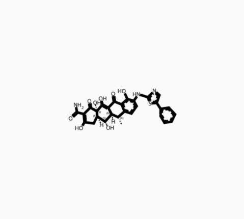 C[C@H]1c2ccc(Nc3ncc(-c4ccccc4)s3)c(O)c2C(=O)C2=C(O)[C@]3(O)C(=O)C(C(N)=O)=C(O)C[C@@H]3[C@@H](O)[C@@H]21